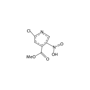 COC(=O)c1cc(Cl)ncc1[N+](=O)O